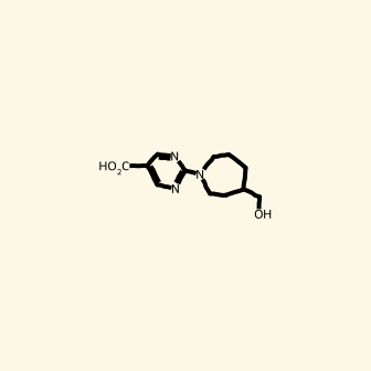 O=C(O)c1cnc(N2CCCC(CO)CC2)nc1